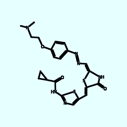 CN(C)CCOc1ccc(N=N/C=c2/[nH]c(=O)/c(=C/c3cnc(NC(=O)C4CC4)s3)s2)cc1